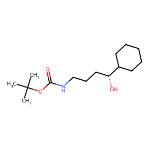 CC(C)(C)OC(=O)NCCC[C@@H](O)C1CCCCC1